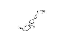 CCCCCCCc1ccc(-c2ccc(C3(C#N)CCC(CC(C)CC)CC3)cc2)cc1